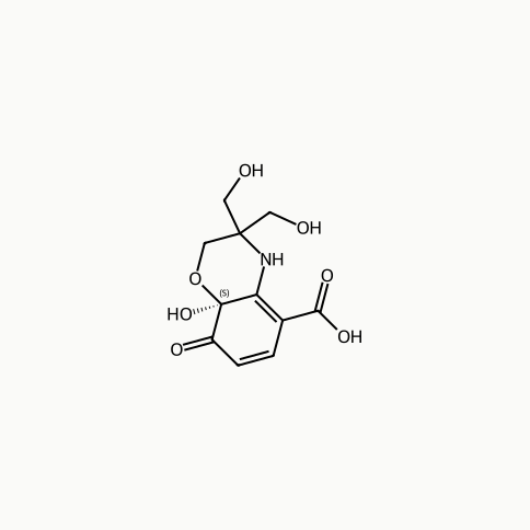 O=C(O)C1=C2NC(CO)(CO)CO[C@]2(O)C(=O)C=C1